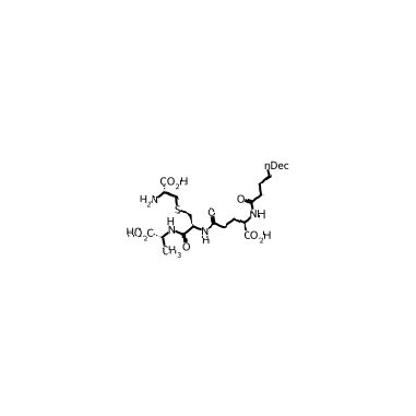 CCCCCCCCCCCCCC(=O)N[C@H](CCC(=O)N[C@H](CSC[C@H](N)C(=O)O)C(=O)N[C@H](C)C(=O)O)C(=O)O